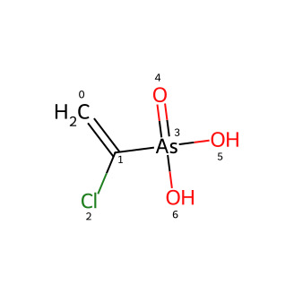 C=C(Cl)[As](=O)(O)O